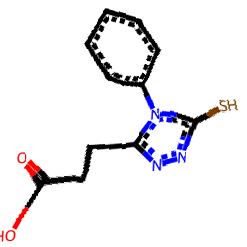 O=C(O)CCc1nnc(S)n1-c1ccccc1